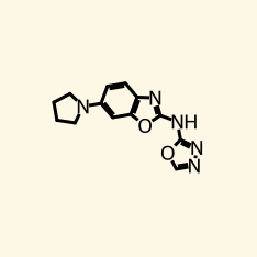 c1nnc(Nc2nc3ccc(N4CCCC4)cc3o2)o1